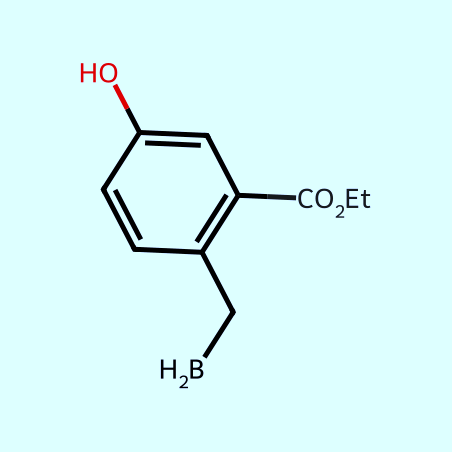 BCc1ccc(O)cc1C(=O)OCC